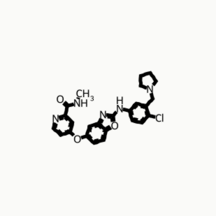 CNC(=O)c1cc(Oc2ccc3oc(Nc4ccc(Cl)c(CN5CCCC5)c4)nc3c2)ccn1